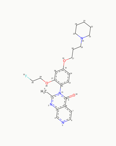 Cc1nc2cnccc2c(=O)n1-c1ccc(OCCCN2CCCCC2)cc1OCCF